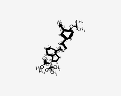 CC(C)Oc1ccc(-c2cnc(-c3cccc4c3CCC4N(C(=O)O)C(C)(C)C)s2)cc1C#N